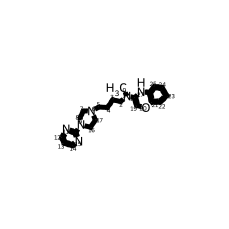 CN(CCCCN1CCN(c2ncccn2)CC1)C1=COc2ccccc2N1